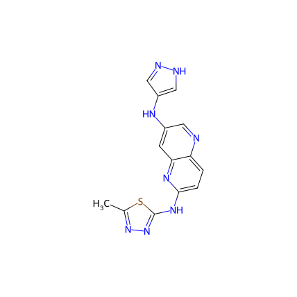 Cc1nnc(Nc2ccc3ncc(Nc4cn[nH]c4)cc3n2)s1